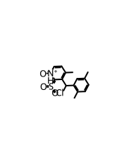 CC1=C(C(Cl)c2cc(C)ccc2C)C(=S(=O)=O)[NH+]([O-])C=C1